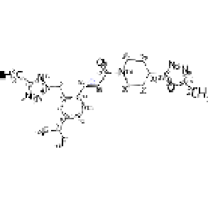 Cc1nnn(Cc2cc(C(F)F)ccc2/C=C/C(=O)N2CCC(c3nnc(C)o3)CC2)n1